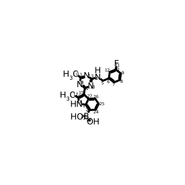 Cc1nc(NCc2cccc(F)c2)nc(-c2c(C)[nH]c3c(B(O)O)cccc23)n1